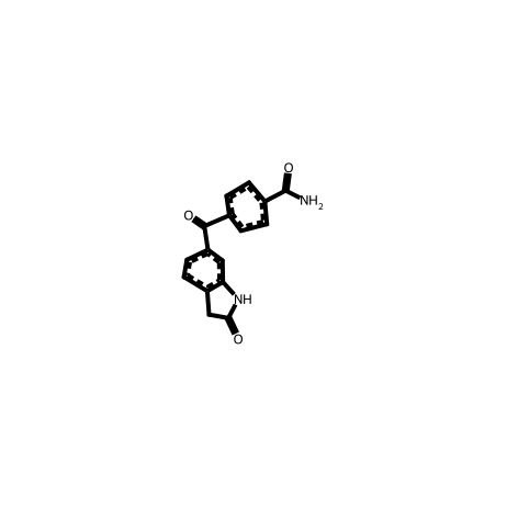 NC(=O)c1ccc(C(=O)c2ccc3c(c2)NC(=O)C3)cc1